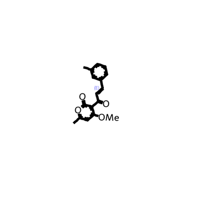 COc1cc(C)oc(=O)c1C(=O)/C=C/c1cccc(C)c1